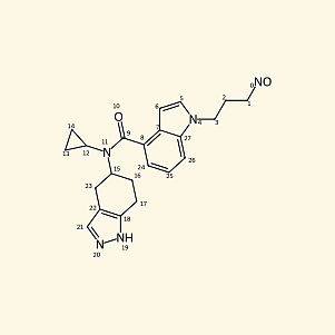 O=NCCCn1ccc2c(C(=O)N(C3CC3)C3CCc4[nH]ncc4C3)cccc21